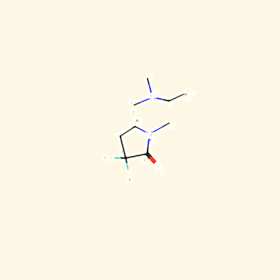 CC(C)CN(C)C[C@H]1CC(F)(F)C(=O)N1C